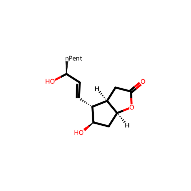 CCCCC[C@H](O)C=C[C@@H]1[C@H]2CC(=O)O[C@H]2C[C@H]1O